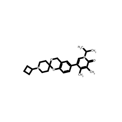 Cc1c(-c2ccc3c(c2)COC2(CCN(C4CCC4)CC2)O3)cn(C(C)C)c(=O)c1C